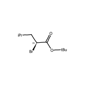 CC(C)C[C@H](Br)C(=O)OC(C)(C)C